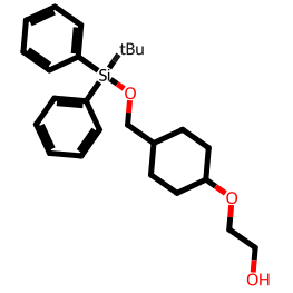 CC(C)(C)[Si](OCC1CCC(OCCO)CC1)(c1ccccc1)c1ccccc1